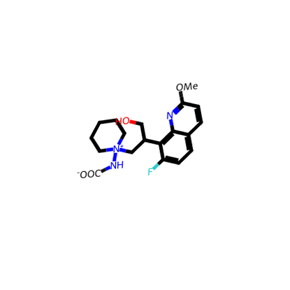 COc1ccc2ccc(F)c(C(CO)C[N+]3(NC(=O)[O-])CCCCC3)c2n1